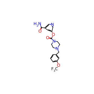 NC(=O)c1cncc(OC(=O)N2CCN(Cc3cccc(OC(F)(F)F)c3)CC2)c1